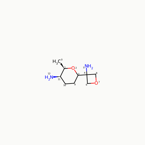 C[C@H]1OC(C2(N)COC2)CC[C@H]1N